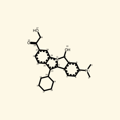 CN(C)c1ccc2c(c1)C(O)n1c-2c(C2CCCCC2)c2ccc(C(=O)CO)cc21